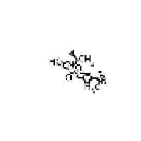 Cc1ncsc1-c1ccc(CNC(=O)[C@@H]2C[C@@H](O)CN2C(=O)[C@@H](C)C2CC2)cc1